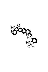 O=C1Nc2ncccc2C12Cc1cc3ccc(CNc4cccc5oc(=O)[nH]c45)nc3cc1C2